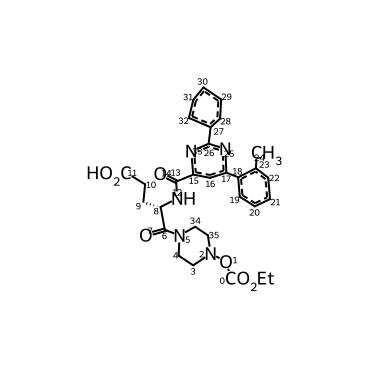 CCOC(=O)ON1CCN(C(=O)[C@H](CCC(=O)O)NC(=O)c2cc(-c3ccccc3C)nc(-c3ccccc3)n2)CC1